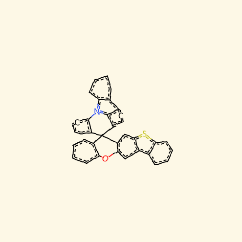 c1ccc2c(c1)Oc1cc3c(cc1C21c2ccccc2-n2c4ccccc4c4cccc1c42)sc1ccccc13